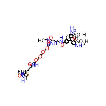 C#CCNC(=O)[C@H](CCCCNC(=O)c1ccc(-c2c3ccc(=N)c(S(=O)(=O)O)c-3oc3c(S(=O)(=O)O)c(N)ccc23)c(C(=O)O)c1)NC(=O)CCOCCOCCOCCOCCNC(=O)CCCC[C@@H]1SC[C@@H]2NC(=O)N(CC)[C@@H]21